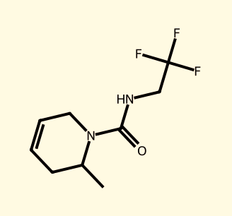 CC1CC=CCN1C(=O)NCC(F)(F)F